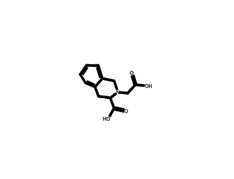 O=C(O)CN1Cc2ccccc2CC1C(=O)O